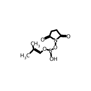 CC(C)=COB(O)ON1C(=O)CCC1=O